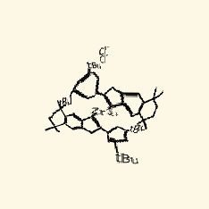 CC(C)(C)c1cc(C2=[C]([Zr+2][C]3=C(c4cc(C(C)(C)C)cc(C(C)(C)C)c4)Cc4cc5c(cc43)C(C)(C)CCC5(C)C)c3cc4c(cc3C2)C(C)(C)CCC4(C)C)cc(C(C)(C)C)c1.[Cl-].[Cl-]